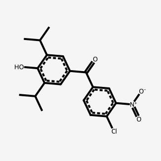 CC(C)c1cc(C(=O)c2ccc(Cl)c([N+](=O)[O-])c2)cc(C(C)C)c1O